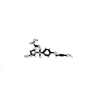 CC#CCOc1ccc(S(=O)(=O)N2C[C@@H](O)C[C@@H]2C(=O)NO)cc1